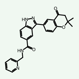 CC1(C)CC(=O)c2cc(-c3n[nH]c4ccc(C(=O)NCc5ccccn5)cc34)ccc2O1